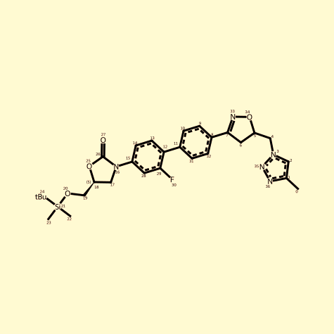 Cc1cn(CC2CC(c3ccc(-c4ccc(N5C[C@@H](CO[Si](C)(C)C(C)(C)C)OC5=O)cc4F)cc3)=NO2)nn1